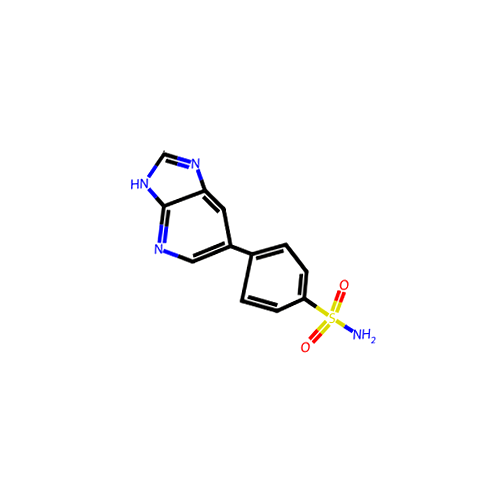 NS(=O)(=O)c1ccc(-c2cnc3[nH][c]nc3c2)cc1